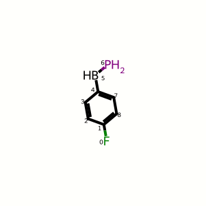 Fc1ccc(BP)cc1